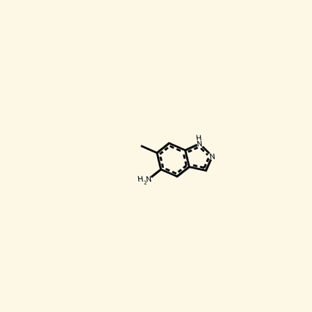 Cc1cc2[nH]ncc2cc1N